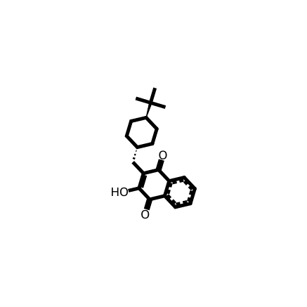 CC(C)(C)[C@H]1CC[C@H](CC2=C(O)C(=O)c3ccccc3C2=O)CC1